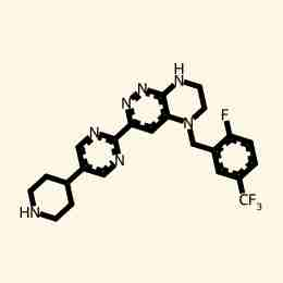 Fc1ccc(C(F)(F)F)cc1CN1CCNc2nnc(-c3ncc(C4CCNCC4)cn3)cc21